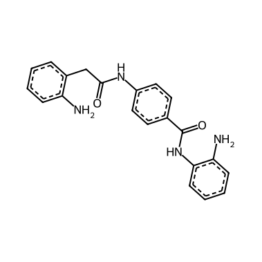 Nc1ccccc1CC(=O)Nc1ccc(C(=O)Nc2ccccc2N)cc1